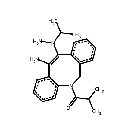 CC(C)C(=O)N1Cc2ccccc2/C(N(N)C(C)C)=C(/N)c2ccccc21